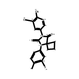 Cc1ccc(N2C(=S)N(c3cnc(C#N)c(Cl)c3)C(=O)C23CCC3)cc1F